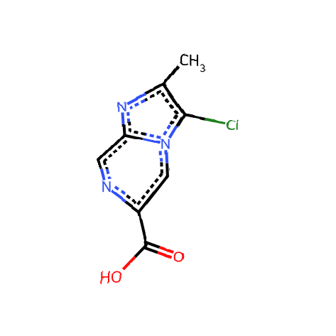 Cc1nc2cnc(C(=O)O)cn2c1Cl